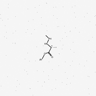 CPN[C@H](C)C(=O)OC(C)C